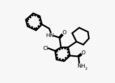 NC(=O)c1ccc(Cl)c(C(=O)NCc2ccccc2)c1C1CCCCC1